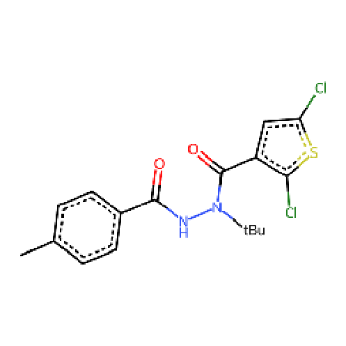 Cc1ccc(C(=O)NN(C(=O)c2cc(Cl)sc2Cl)C(C)(C)C)cc1